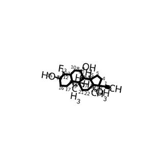 C#C[C@]1(O)CC[C@H]2[C@@H]3[C@H](O)CC4[C@H](F)[C@H](O)CC[C@]4(C)[C@H]3CC[C@@]21C